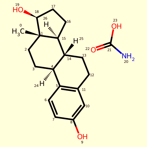 C[C@]12CC[C@@H]3c4ccc(O)cc4CC[C@H]3[C@@H]1CC[C@@H]2O.NC(=O)O